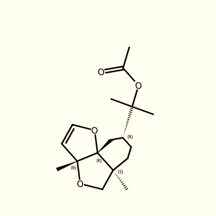 CC(=O)OC(C)(C)[C@@H]1CC[C@@]2(C)CO[C@]3(C)C=CO[C@]23C1